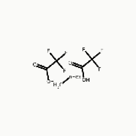 CCCCCCC.O=C(O)C(F)(F)F.O=C(O)C(F)(F)F